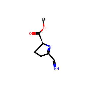 CCOC(=O)[C@@H]1CCC(C=N)=N1